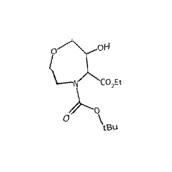 CCOC(=O)C1C(O)[CH]OCCN1C(=O)OC(C)(C)C